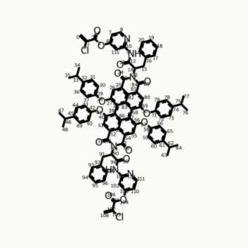 C=C(Cl)C(=O)Oc1ccnc(NC(=O)C(Cc2ccccc2)N2C(=O)c3cc(Oc4ccc(C(C)C)cc4)c4c5c(Oc6ccc(C(C)C)cc6)cc6c7c(cc(Oc8ccc(C(C)C)cc8)c(c8c(Oc9ccc(C(C)C)cc9)cc(c3c48)C2=O)c75)C(=O)N(C(Cc2ccccc2)C(=O)Nc2cc(OC(=O)C(=C)Cl)ccn2)C6=O)c1